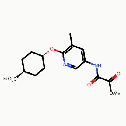 CCOC(=O)[C@H]1CC[C@H](Oc2ncc(NC(=O)C(=O)OC)cc2C)CC1